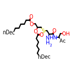 CCCCCCCCCCCCCCCC(=O)OCC(CSCC(N)C(=O)NC(CO)C(C)=O)OC(=O)CCCCCCCCCCCCCCC